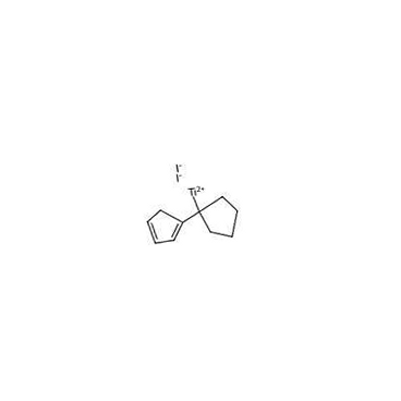 [I-].[I-].[Ti+2][C]1(C2=CC=CC2)CCCC1